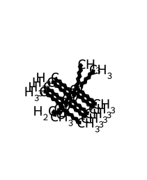 C=C(C)C(=O)O[Si](CCCCCCCC)(CCCCCCCC)O[Si](CCCCCCCC)(CCCCCCCC)O[Si](CCCCCCCC)(CCCCCCCC)O[Si](CCCCCCCC)(CCCCCCCC)O[Si](CCCCCCCC)(CCCCCCCC)CCCCCCCC